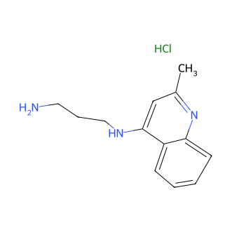 Cc1cc(NCCCN)c2ccccc2n1.Cl